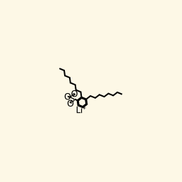 CCCCCCCCc1cccc(S(=O)(=O)[O-])c1CCCCCCCC.[Li+]